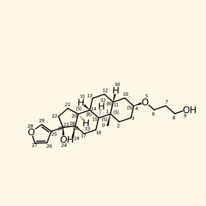 C[C@]12CC[C@H](OCCCO)C[C@H]1CC[C@@H]1[C@@H]2CC[C@@]2(C)[C@H]1CC[C@@]2(O)c1ccoc1